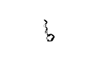 CCOC=Nc1ccccn1